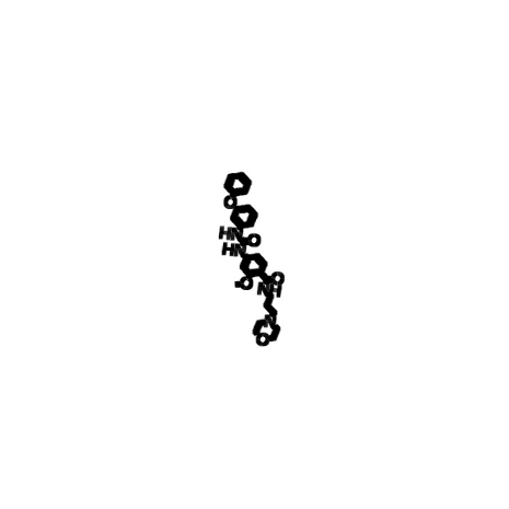 COc1cc(NC(=O)Nc2cccc(Oc3ccccc3)c2)ccc1C(=O)NCCCN1CCOCC1